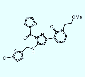 COCCn1cccc(-c2cc(NCc3ccc(Cl)s3)n(C(=O)c3ccco3)n2)c1=O